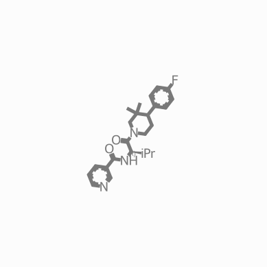 CC(C)[C@@H](NC(=O)c1cccnc1)C(=O)N1CCC(c2ccc(F)cc2)C(C)(C)C1